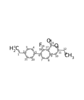 C=Cc1ccc(-c2ccc3cc(CC)oc(=O)c3c2F)cc1